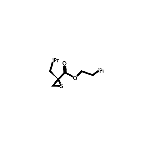 CC(C)CCOC(=O)[C@@]1(CC(C)C)CS1